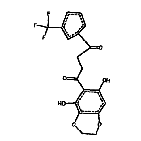 O=C(CCC(=O)c1c(O)cc2c(c1O)OCCO2)c1cccc(C(F)(F)F)c1